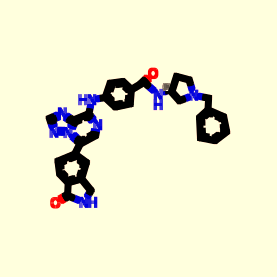 O=C(N[C@@H]1CCN(Cc2ccccc2)C1)c1ccc(Nc2ncc(-c3ccc4c(c3)CNC4=O)n3ncnc23)cc1